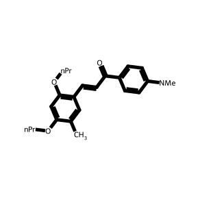 CCCOc1cc(OCCC)c(C=CC(=O)c2ccc(NC)cc2)cc1C